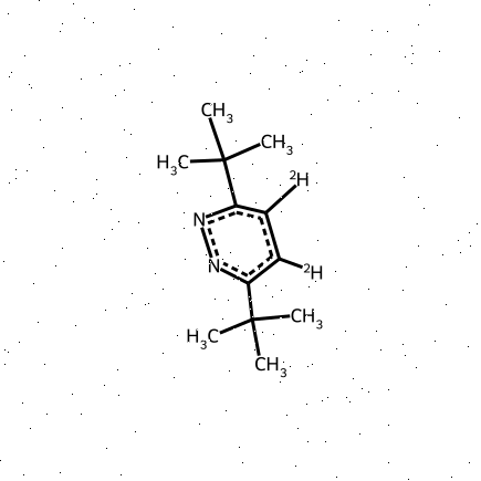 [2H]c1c(C(C)(C)C)nnc(C(C)(C)C)c1[2H]